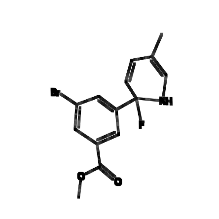 COC(=O)c1cc(Br)cc(C2(F)C=CC(C)=CN2)c1